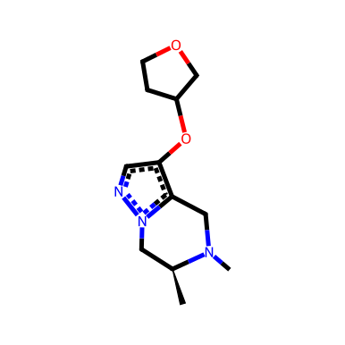 C[C@H]1Cn2ncc(OC3CCOC3)c2CN1C